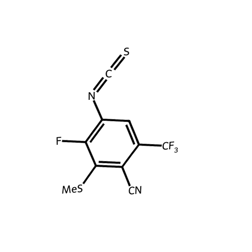 CSc1c(F)c(N=C=S)cc(C(F)(F)F)c1C#N